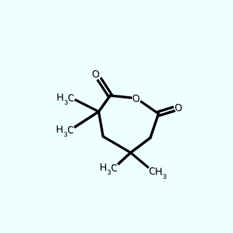 CC1(C)CC(=O)OC(=O)C(C)(C)C1